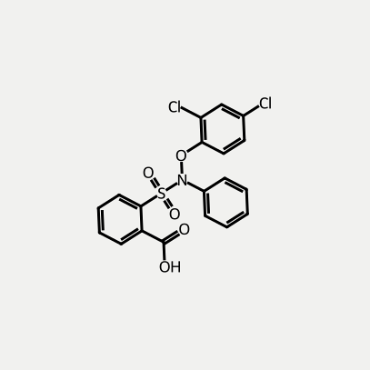 O=C(O)c1ccccc1S(=O)(=O)N(Oc1ccc(Cl)cc1Cl)c1ccccc1